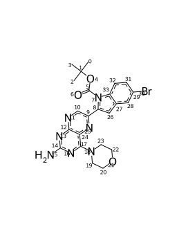 CC(C)(C)OC(=O)n1c(-c2cnc3nc(N)nc(N4CCOCC4)c3n2)cc2cc(Br)ccc21